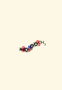 CS(=O)(=O)c1ccc(-c2ccc3nc(OC4CCN(S(=O)(=O)C5CC5)CC4)sc3c2)cc1